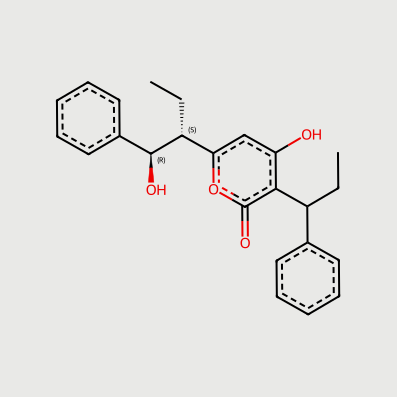 CCC(c1ccccc1)c1c(O)cc([C@@H](CC)[C@@H](O)c2ccccc2)oc1=O